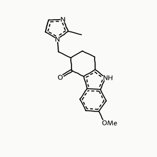 COc1ccc2c3c([nH]c2c1)CCC(Cn1ccnc1C)C3=O